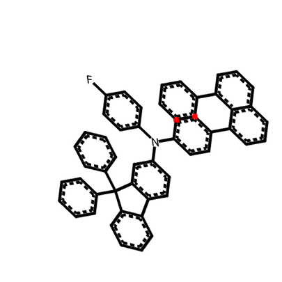 Fc1ccc(N(c2ccc(-c3cccc4cccc(-c5ccccc5)c34)cc2)c2ccc3c(c2)C(c2ccccc2)(c2ccccc2)c2ccccc2-3)cc1